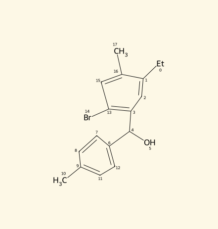 CCc1cc(C(O)c2ccc(C)cc2)c(Br)cc1C